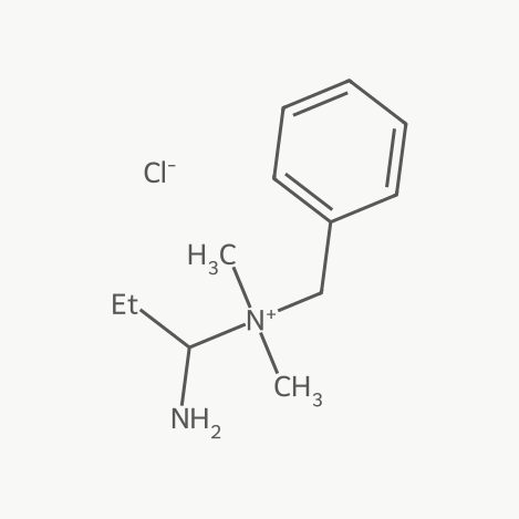 CCC(N)[N+](C)(C)Cc1ccccc1.[Cl-]